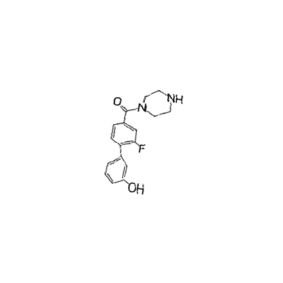 O=C(c1ccc(-c2cccc(O)c2)c(F)c1)N1CCNCC1